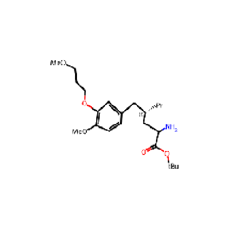 COCCCOc1cc(C[C@@H](CC(N)C(=O)OC(C)(C)C)C(C)C)ccc1OC